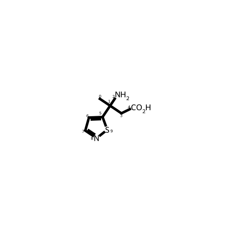 CC(N)(CC(=O)O)c1ccns1